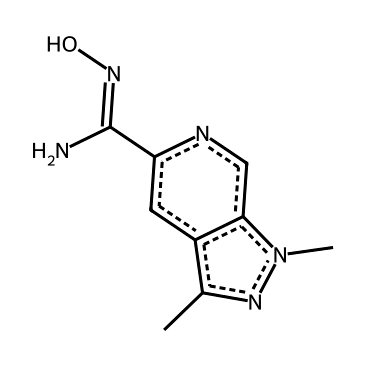 Cc1nn(C)c2cnc(/C(N)=N/O)cc12